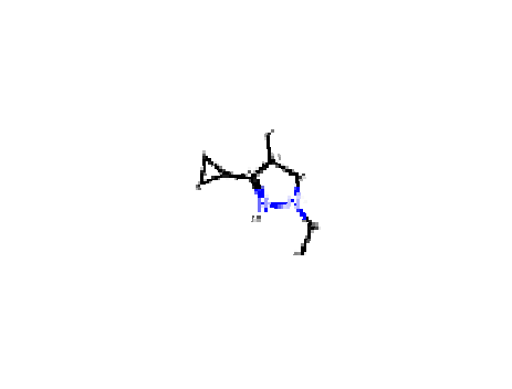 CCN1CC(C)C(C2CC2)=N1